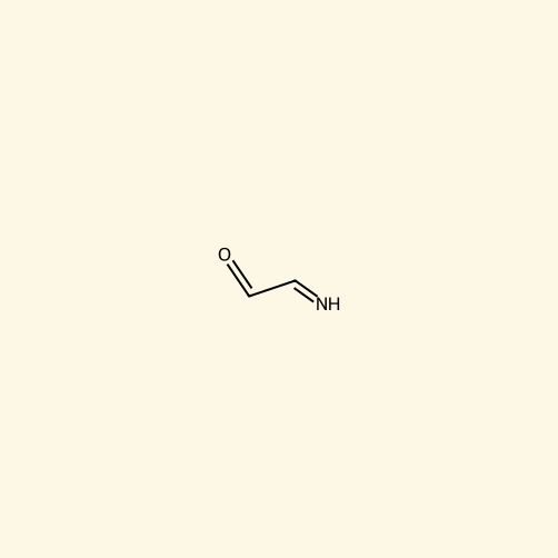 N=CC=O